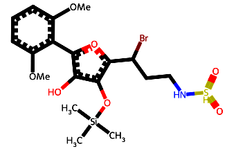 COc1cccc(OC)c1-c1oc(C(Br)CCN[SH](=O)=O)c(O[Si](C)(C)C)c1O